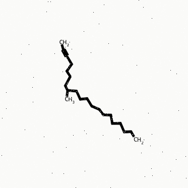 [CH2]C#CCCCCC(C)CCCCCCCCCCC[CH2]